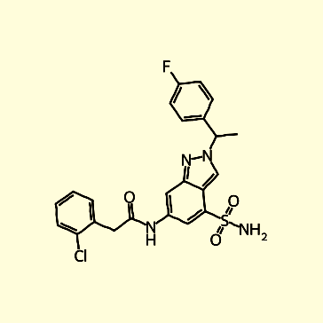 CC(c1ccc(F)cc1)n1cc2c(S(N)(=O)=O)cc(NC(=O)Cc3ccccc3Cl)cc2n1